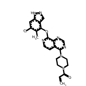 C=CC(=O)N1CCN(c2ncnc3c(Oc4c(C)c(Cl)cc5[nH]ncc45)nccc23)CC1